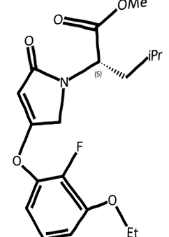 CCOc1cccc(OC2=CC(=O)N([C@@H](CC(C)C)C(=O)OC)C2)c1F